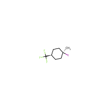 C[C@]1(I)CC[C@@H](C(F)(F)F)CC1